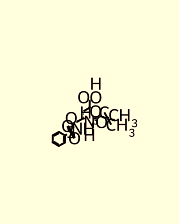 CC(C)(C)OC(=O)N[C@@H](CCC(=O)O)C(=O)NS(=O)(=O)c1ccccc1